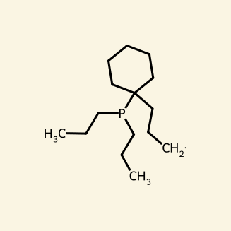 [CH2]CCC1(P(CCC)CCC)CCCCC1